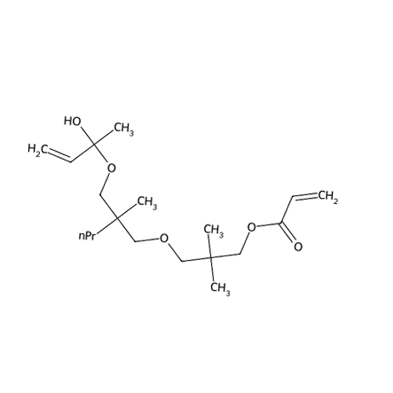 C=CC(=O)OCC(C)(C)COCC(C)(CCC)COC(C)(O)C=C